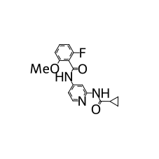 COc1cccc(F)c1C(=O)Nc1ccnc(NC(=O)C2CC2)c1